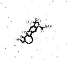 COC(=O)N1CC(C)(C)c2cc3[nH]c4c(c3cc21)CCCc1c[nH]nc1-4